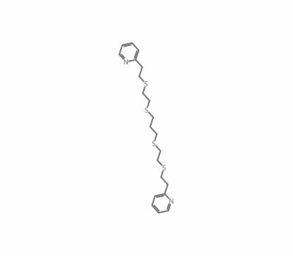 c1ccc(CCSCCSCCCSCCSCCc2ccccn2)nc1